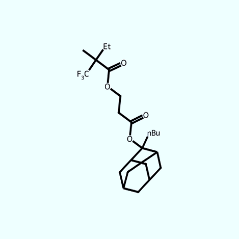 CCCCC1(OC(=O)CCOC(=O)C(C)(CC)C(F)(F)F)C2CC3CC(C2)CC1C3